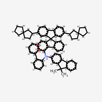 CC1(C)c2ccccc2-c2ccc(N(c3ccccc3-c3ccccc3)c3cccc4c3-c3ccccc3C43c4cc(C5CCC6(CCCC6)C5)ccc4-c4ccc(C5CCC6(CCCC6)C5)cc43)cc21